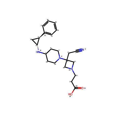 N#CCC1(N2CCC(N[C@@H]3C[C@H]3c3ccccc3)CC2)CN(CCC(=O)O)C1